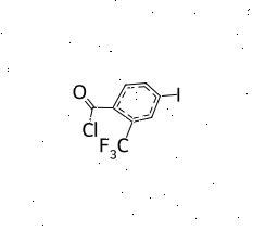 O=C(Cl)c1ccc(I)cc1C(F)(F)F